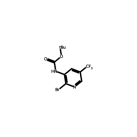 CC(C)(C)OC(=O)Nc1cc(C(F)(F)F)cnc1Br